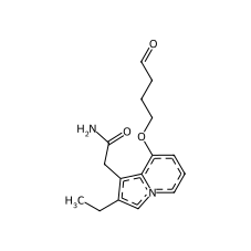 CCc1cn2cccc(OCCCC=O)c2c1CC(N)=O